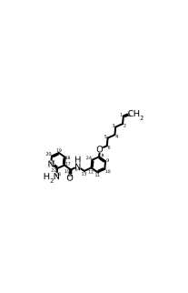 C=CCCCCCOc1cccc(CNC(=O)c2cccnc2N)c1